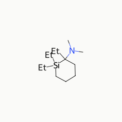 CCC1(N(C)C)CCCC[Si]1(CC)CC